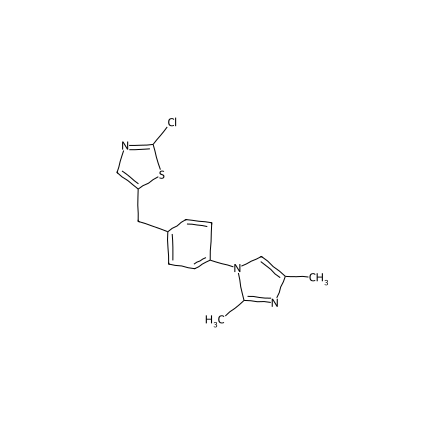 Cc1cn(-c2ccc(Cc3cnc(Cl)s3)cc2)c(C)n1